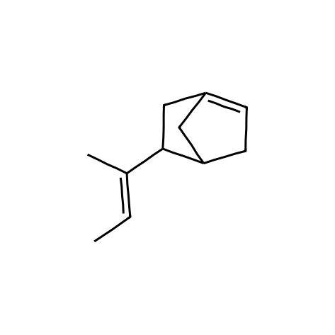 CC=C(C)C1CC2=CCC1C2